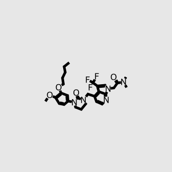 CCCCCOc1cc(N2CCCN(Cc3ccnc4c3c(C(F)(F)F)cn4CC(=O)N(C)C)C2=O)ccc1OC